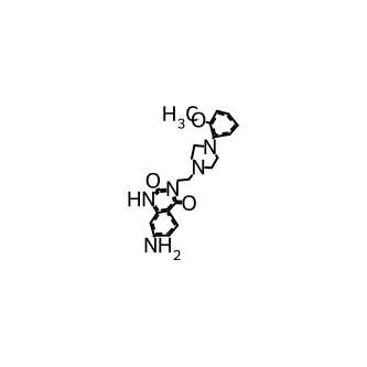 COc1ccccc1N1CCN(CCn2c(=O)[nH]c3cc(N)ccc3c2=O)CC1